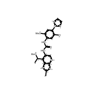 COc1cc(-n2nccn2)c(Cl)cc1NC(=O)Nc1cnc2sc(C)nc2c1C(C)OC